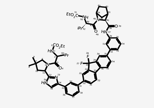 CCOC(=O)NC(C(=O)N1CC(C)(C)CC1c1nc(-c2cccc(-c3ccc4c(c3)C(F)(F)c3cc(-c5cccc(NC(=O)[C@@H]6C7CCC(C7)N6C(=O)[C@@H](NC(=O)OCC)C(C)C)c5)ccc3-4)c2)c[nH]1)C(C)C